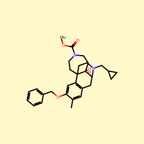 Cc1cc2c(cc1OCc1ccccc1)C13CCN(C(=O)OC(C)(C)C)CCC1(O)C(C2)N(CC1CC1)CC3